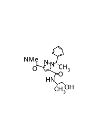 CNC(=O)c1cc(C(=O)NC(C)CO)n([C@@H](C)c2ccccc2)n1